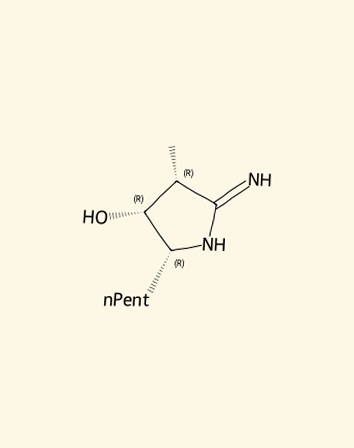 CCCCC[C@H]1NC(=N)[C@@H](C)[C@H]1O